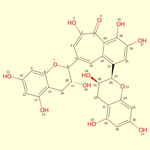 O=c1c(O)cc(C2Oc3cc(O)cc(O)c3C[C@H]2O)cc2c([C@H]3Oc4cc(O)cc(O)c4C[C@H]3O)cc(O)c(O)c12